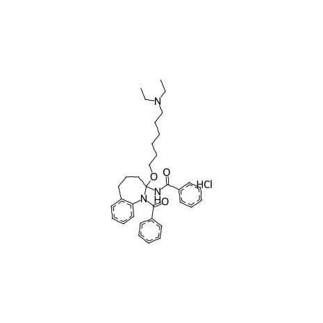 CCN(CC)CCCCCCOC1(NC(=O)c2ccccc2)CCCc2ccccc2N1C(=O)c1ccccc1.Cl